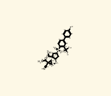 CO[C@@H]1C[C@H](S(=O)(=O)c2ccc(-c3ccc(F)cc3)cc2C(F)(F)F)C[C@@]1(C(=O)O)C1CC1(C#N)C(N)=O